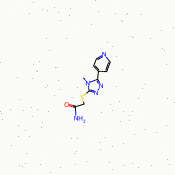 Cn1c(SCC(N)=O)nnc1-c1ccncc1